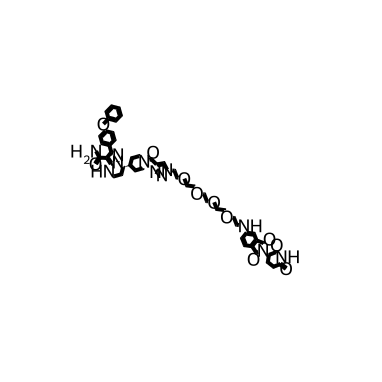 NC(=O)c1c(-c2ccc(Oc3ccccc3)cc2)nn2c1NCC[C@H]2C1CCN(C(=O)c2cn(CCOCCOCCOCCOCCNc3ccc4c(c3)C(=O)N(C3CCC(=O)NC3=O)C4=O)nn2)CC1